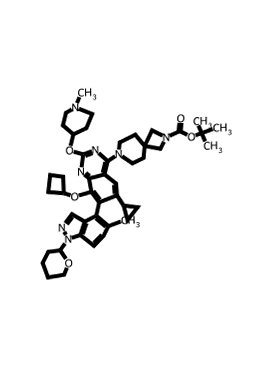 Cc1ccc2c(cnn2C2CCCCO2)c1-c1c(C2CC2)cc2c(N3CCC4(CC3)CN(C(=O)OC(C)(C)C)C4)nc(OC3CCN(C)CC3)nc2c1OC1CCC1